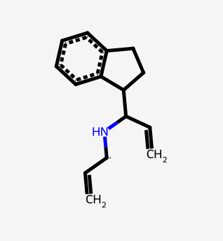 C=C[CH]NC(C=C)C1CCc2ccccc21